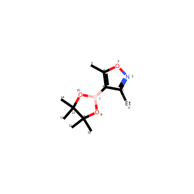 CCc1noc(C)c1B1OC(C)(C)C(C)(C)O1